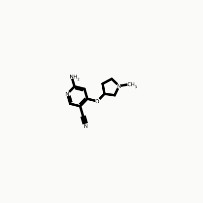 CN1CCC(Oc2cc(N)ncc2C#N)C1